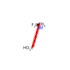 Cc1cc(NC(=S)NCCOCCOCCOCCOCCOCCOCCOCCOCCC(=O)O)cc(C(F)(F)F)c1